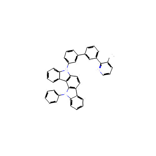 N#Cc1cccnc1-c1cccc(-c2cccc(-n3c4ccccc4c4c3ccc3c5ccccc5n(-c5ccccc5)c34)c2)c1